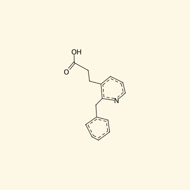 O=C(O)CCc1cccnc1Cc1ccccc1